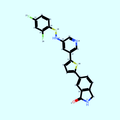 O=C1NCc2ccc(-c3ccc(-c4cncc(NSc5ccc(F)cc5F)c4)s3)cc21